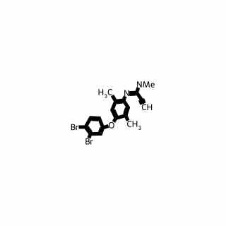 C#CC(=Nc1cc(C)c(Oc2ccc(Br)c(Br)c2)cc1C)NC